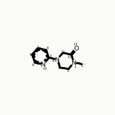 [CH2]N1CCN(c2ccccn2)CC1=O